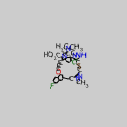 CN(C)CCn1c(C(=O)O)c2c3ccc(Cl)c(c31)C1=C(CNN1C)CSCc1cc(n(C)n1)CCc1cc(c3ccc(F)cc3c1)OCCC2